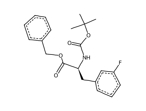 CC(C)(C)OC(=O)N[C@@H](Cc1cccc(F)c1)C(=O)OCc1ccccc1